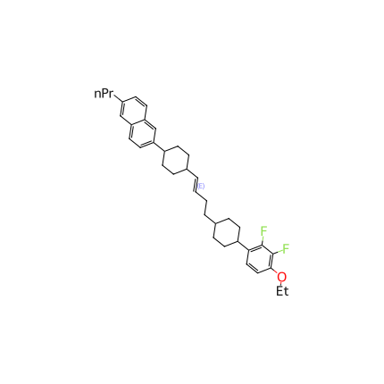 CCCc1ccc2cc(C3CCC(/C=C/CCC4CCC(c5ccc(OCC)c(F)c5F)CC4)CC3)ccc2c1